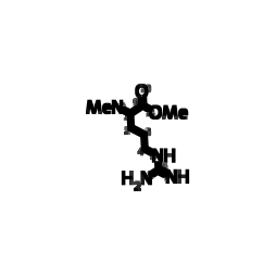 CNC(CCCNC(=N)N)C(=O)OC